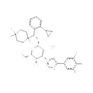 CO[C@@H]1[C@@H](n2cc(-c3cc(F)c(F)c(F)c3)nn2)[C@@H](O)[C@@H](CO)O[C@H]1S[C@H](c1ccccc1C1CC1)C1(O)CCC(F)(F)CC1